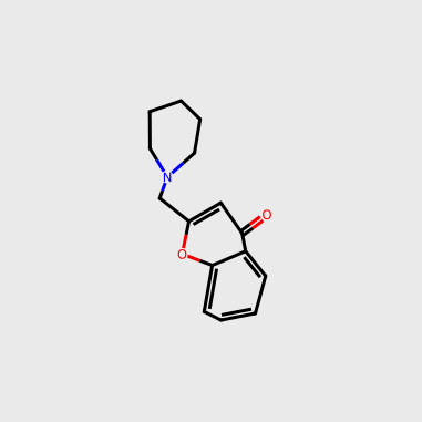 O=c1cc(CN2CCCCC2)oc2ccccc12